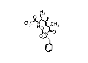 C[C@@H](/C=C(\F)[C@@H](C)NC(=O)C(Cl)(Cl)Cl)C(=O)N1C(=O)OC[C@H]1Cc1ccccc1